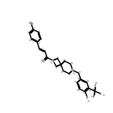 O=C(/C=C/c1ccc(Br)cc1)N1CC2(CCN(Cc3ccc(F)c(C(F)(F)F)c3)CC2)C1